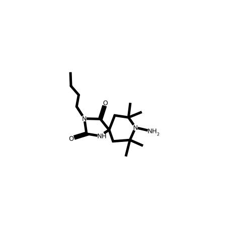 CCCCN1C(=O)NC2(CC(C)(C)N(N)C(C)(C)C2)C1=O